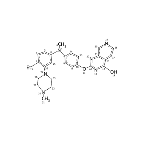 CCc1ccc(N(C)c2ccc(Oc3nc(O)c4ccncc4n3)cc2)cc1N1CCN(C)CC1